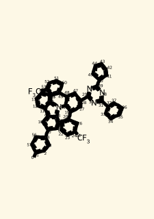 Cc1ccc(-c2ccc3c(c2)c2ccccc2n3-c2c(-c3cccc(C(F)(F)F)c3)cc(-c3nc(-c4ccccc4)nc(-c4ccccc4)n3)cc2-c2cccc(C(F)(F)F)c2)cc1